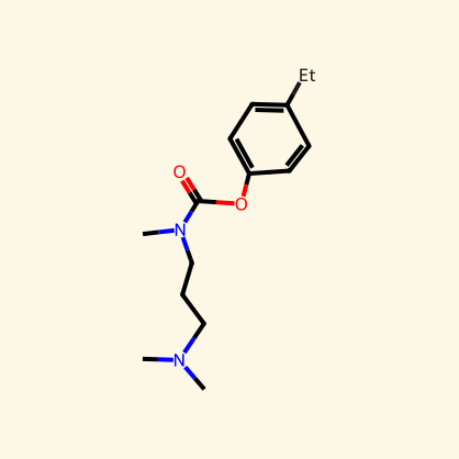 CCc1ccc(OC(=O)N(C)CCCN(C)C)cc1